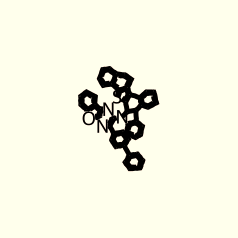 c1ccc(-c2ccc(-c3nc4oc5ccccc5c4nc3N3c4ccccc4C4c5ccccc5-c5c(sc6c5ccc5ccccc56)C43)cc2)cc1